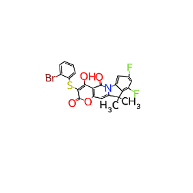 CC1(C)c2c(F)cc(F)cc2-n2c1cc1oc(=O)c(Sc3ccccc3Br)c(O)c1c2=O